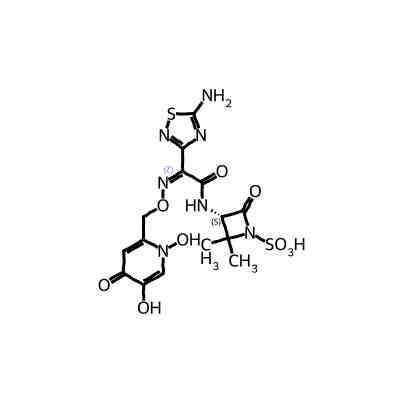 CC1(C)[C@H](NC(=O)/C(=N\OCc2cc(=O)c(O)cn2O)c2nsc(N)n2)C(=O)N1S(=O)(=O)O